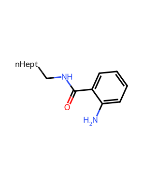 CCCCCCCCNC(=O)c1ccccc1N